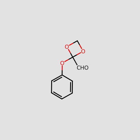 O=CC1(Oc2ccccc2)OCO1